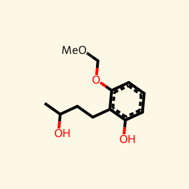 COCOc1cccc(O)c1CCC(C)O